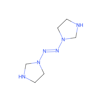 C1CN(N=NN2CCNC2)CN1